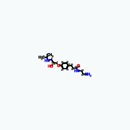 CC(C)NC[C@@H](O)COc1ccc(CCC(=O)NCCN)cc1